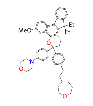 CCC1(CC)c2ccccc2-c2c1c1c(c3cc(OC)ccc23)OC(c2ccc(CCC3CCCOCC3)cc2)(c2ccc(N3CCOCC3)cc2)CC1